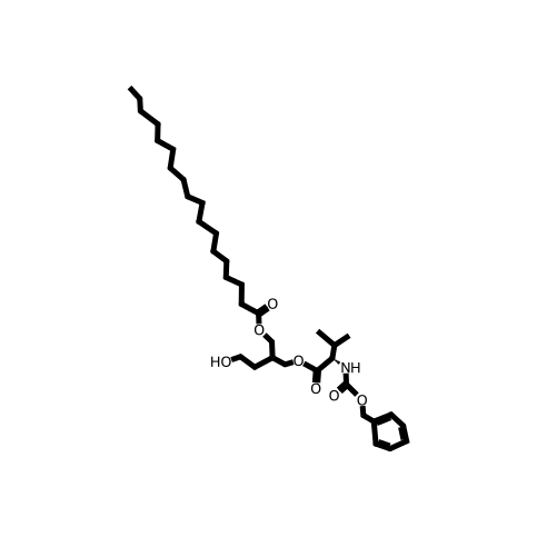 CCCCCCCCCCCCCCCCCC(=O)OCC(CCO)COC(=O)[C@@H](NC(=O)OCc1ccccc1)C(C)C